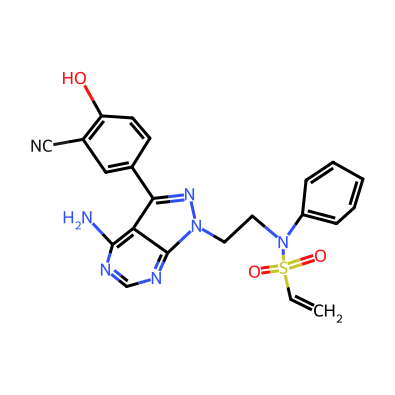 C=CS(=O)(=O)N(CCn1nc(-c2ccc(O)c(C#N)c2)c2c(N)ncnc21)c1ccccc1